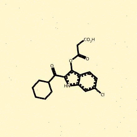 O=C(O)CC(=O)Oc1c(C(=O)C2CCCCC2)[nH]c2cc(Cl)ccc12